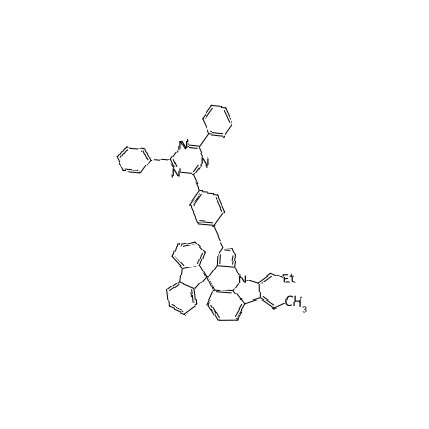 C/C=c1\c(=C/CC)n2c3c(cccc13)C1(c3ccccc3-c3ccccc31)c1cc(-c3ccc(-c4nc(-c5ccccc5)nc(-c5ccccc5)n4)cc3)ccc1-2